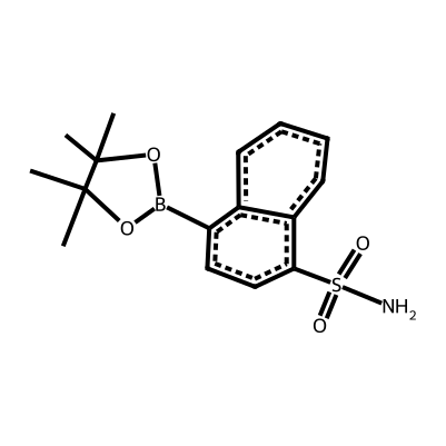 CC1(C)OB(c2ccc(S(N)(=O)=O)c3ccccc23)OC1(C)C